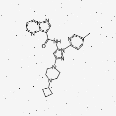 Cc1ccc(-n2nc(N3CCN(C4CCC4)CC3)cc2NC(=O)c2cnn3cccnc23)nc1